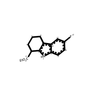 CCOC(=O)C1CCCc2c1[nH]c1ccc(F)cc21